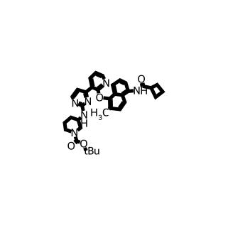 Cc1ccc2c(NC(=O)C3CCC3)cccc2c1Oc1ncccc1-c1ccnc(NC2CCCN(C(=O)OC(C)(C)C)C2)n1